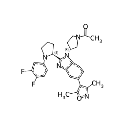 CC(=O)N1CC[C@@H](n2c([C@@H]3CCCN3c3ccc(F)c(F)c3)nc3cc(-c4c(C)noc4C)ccc32)C1